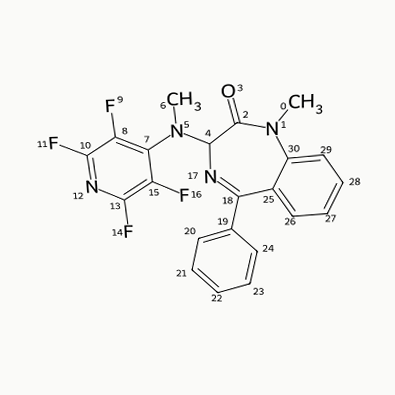 CN1C(=O)C(N(C)c2c(F)c(F)nc(F)c2F)N=C(c2ccccc2)c2ccccc21